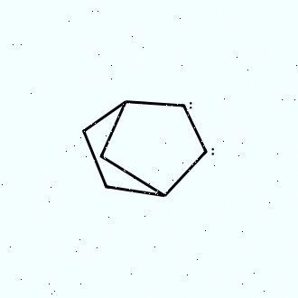 [C]1[C]C2CCC1C2